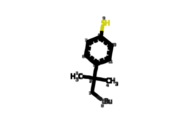 CC(C)(C)CC(C)(C)c1ccc(S)cc1